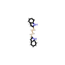 c1ccc2[nH]c(SSSSc3cc4ccccc4[nH]3)cc2c1